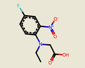 CCN(CC(=O)O)c1ccc(F)cc1[N+](=O)[O-]